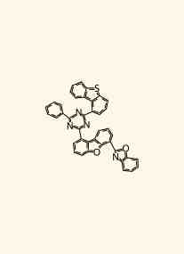 c1ccc(-c2nc(-c3cccc4oc5c(-c6nc7ccccc7o6)cccc5c34)nc(-c3cccc4sc5ccccc5c34)n2)cc1